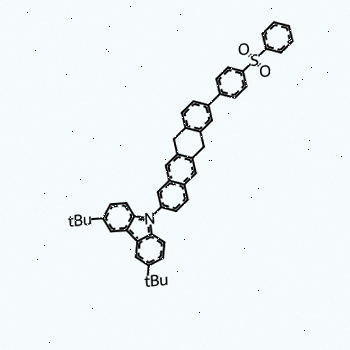 CC(C)(C)c1ccc2c(c1)c1cc(C(C)(C)C)ccc1n2-c1ccc2cc3c(cc2c1)Cc1ccc(-c2ccc(S(=O)(=O)c4ccccc4)cc2)cc1C3